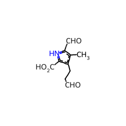 Cc1c(C=O)[nH]c(C(=O)O)c1CCC=O